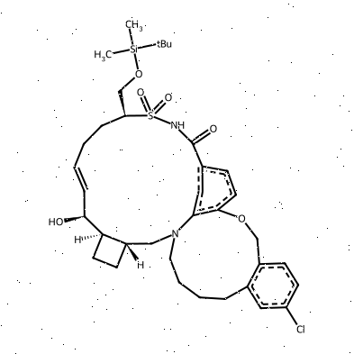 CC(C)(C)[Si](C)(C)OC[C@@H]1CC/C=C/[C@H](O)[C@@H]2CC[C@H]2CN2CCCCc3cc(Cl)ccc3COc3ccc(cc32)C(=O)NS1(=O)=O